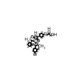 Cc1nc([C@H]([C@H](C)c2ccccc2)N2C(=O)N[C@H](c3ccc(OC[C@@H](O)CO)cc3)C2=O)[nH]c1-c1ccc(Br)cc1F